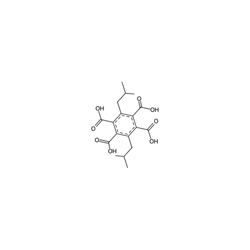 CC(C)Cc1c(C(=O)O)c(C(=O)O)c(CC(C)C)c(C(=O)O)c1C(=O)O